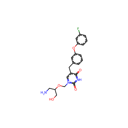 NCC(CO)OCn1cc(Cc2cccc(Oc3cccc(F)c3)c2)c(=O)[nH]c1=O